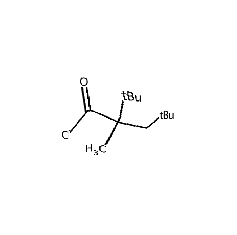 CC(C)(C)CC(C)(C(=O)Cl)C(C)(C)C